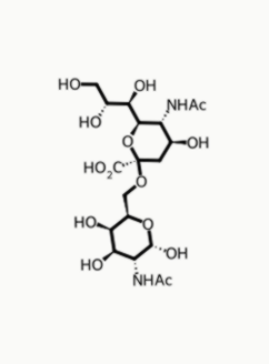 CC(=O)N[C@@H]1[C@@H](O)[C@@H](O)[C@@H](CO[C@]2(C(=O)O)C[C@H](O)[C@@H](NC(C)=O)[C@H]([C@H](O)[C@H](O)CO)O2)O[C@@H]1O